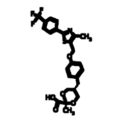 Cc1nc(-c2ccc(C(F)(F)F)cc2)sc1COc1ccc(C[C@H]2CO[C@](C)(C(=O)O)OC2)cc1